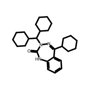 O=C1Nc2ccccc2C(C2CCCCC2)=NN1C(C1CCCCC1)C1CCCCC1